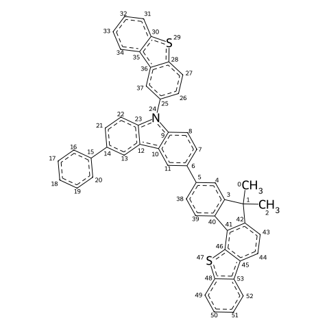 CC1(C)c2cc(-c3ccc4c(c3)c3cc(-c5ccccc5)ccc3n4-c3ccc4sc5ccccc5c4c3)ccc2-c2c1ccc1c2sc2ccccc21